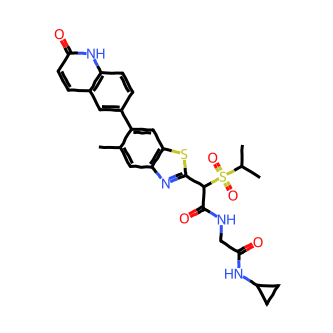 Cc1cc2nc(C(C(=O)NCC(=O)NC3CC3)S(=O)(=O)C(C)C)sc2cc1-c1ccc2[nH]c(=O)ccc2c1